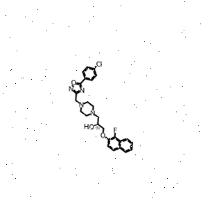 O[C@H](COc1ccc2ccccc2c1F)CN1CCN(Cc2noc(-c3ccc(Cl)cc3)n2)CC1